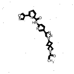 C=CC(=O)N1CC2(CC(n3cc(-c4ccc(NC(=O)c5cccc(-c6cnoc6)n5)nc4)nn3)C2)C1